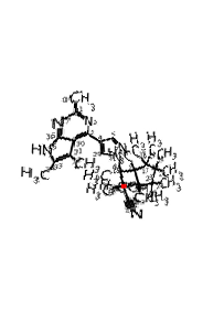 Cc1nc(-c2cnn([C@](C)(C(C)(C)C#N)C3(C)C(C)(C)C(C)(C)C(C)(C)C3(C)C)c2)c2c(C)c(C)[nH]c2n1